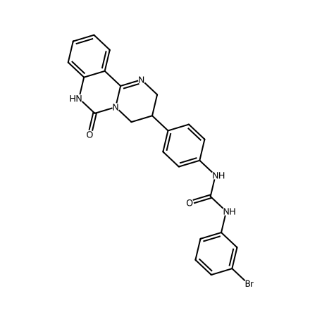 O=C(Nc1ccc(C2CN=C3c4ccccc4NC(=O)N3C2)cc1)Nc1cccc(Br)c1